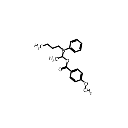 CCCCN(c1ccccc1)C(C)OC(=O)c1ccc(OC)cc1